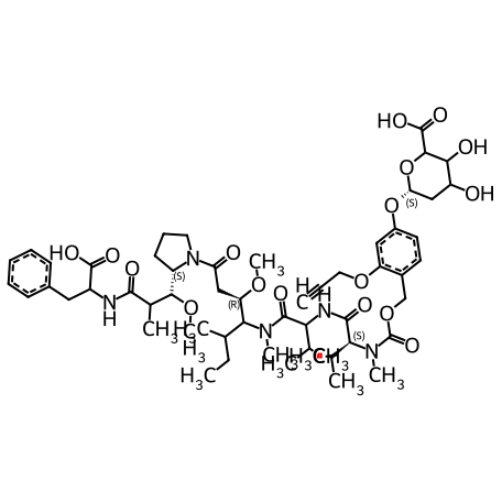 C#CCOc1cc(O[C@H]2CC(O)C(O)C(C(=O)O)O2)ccc1COC(=O)N(C)[C@H](C(=O)NC(C(=O)N(C)C(C(C)CC)[C@@H](CC(=O)N1CCC[C@H]1C(OC)C(C)C(=O)NC(Cc1ccccc1)C(=O)O)OC)C(C)C)C(C)C